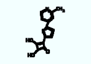 Cc1cc(-c2ccc(C3=C(O)C(O)C3=O)s2)ccn1